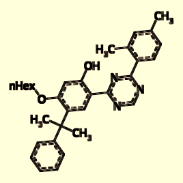 CCCCCCOc1cc(O)c(-c2ncnc(-c3ccc(C)cc3C)n2)cc1C(C)(C)c1ccccc1